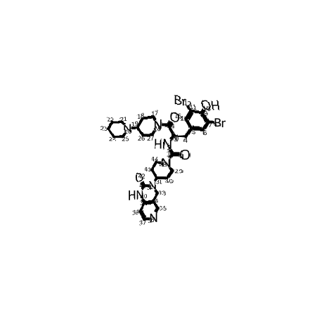 O=C(N[C@H](Cc1cc(Br)c(O)c(Br)c1)C(=O)N1CCC(N2CCCCC2)CC1)N1CCC(N2Cc3cnccc3NC2=O)CC1